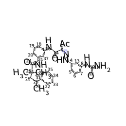 CC(=O)/C(=N/Nc1cccc(NC(N)=O)c1)C(=O)Nc1cccc(NC(=O)C(C)(C)CC(C)c2ccccc2)c1